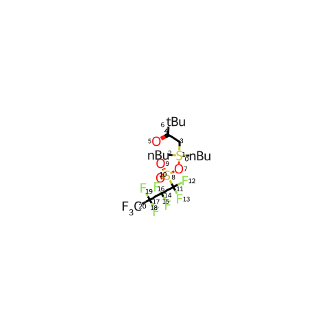 CCCCS(CCCC)(CC(=O)C(C)(C)C)OS(=O)(=O)C(F)(F)C(F)(F)C(F)(F)C(F)(F)F